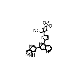 CS(=O)(=O)N1CC(CC#N)(n2ccc(-c3nc(-c4cnc5cn[nH]c5c4)cc4ncccc34)n2)C1